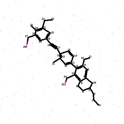 CCCC1CCc2c(cc(CC)c(-c3ccc(C#Cc4cc(CC)c(C)c(CI)c4)c(C)c3)c2CI)C1